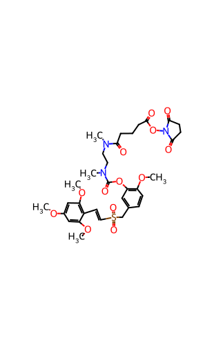 COc1cc(OC)c(/C=C/S(=O)(=O)Cc2ccc(OC)c(OC(=O)N(C)CCN(C)C(=O)CCCC(=O)ON3C(=O)CCC3=O)c2)c(OC)c1